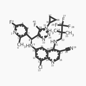 Cc1nc(F)ccc1[C@H](Nc1cc(Cl)c2ncc(C#N)c(NCC(C)(C)C(F)(F)F)c2c1)c1nnn(C2CC2)c1F